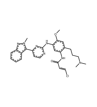 COc1cc(CCCN(C)C)c(NC(=O)/C=C/Cl)cc1Nc1nccc(-c2c3ccccc3nn2C)n1